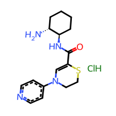 Cl.N[C@@H]1CCCC[C@H]1NC(=O)C1=CN(c2ccncc2)CCS1